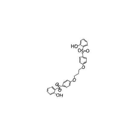 O=S(=O)(c1ccc(OCCCOc2ccc(S(=O)(=O)c3ccccc3O)cc2)cc1)c1ccccc1O